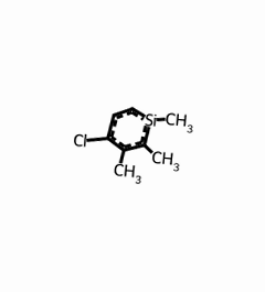 Cc1c(Cl)cc[si](C)c1C